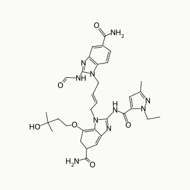 CCn1nc(C)cc1C(=O)Nc1nc2c(n1C/C=C/Cn1c(NC=O)nc3cc(C(N)=O)ccc31)=C(OCCC(C)(C)O)CC(C(N)=O)C=2